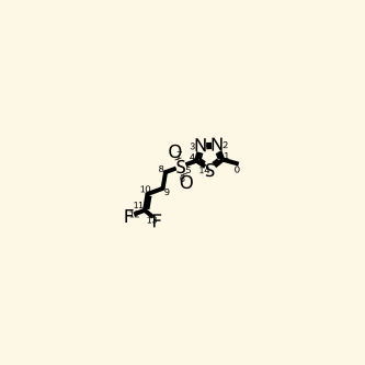 Cc1nnc(S(=O)(=O)CCC=C(F)F)s1